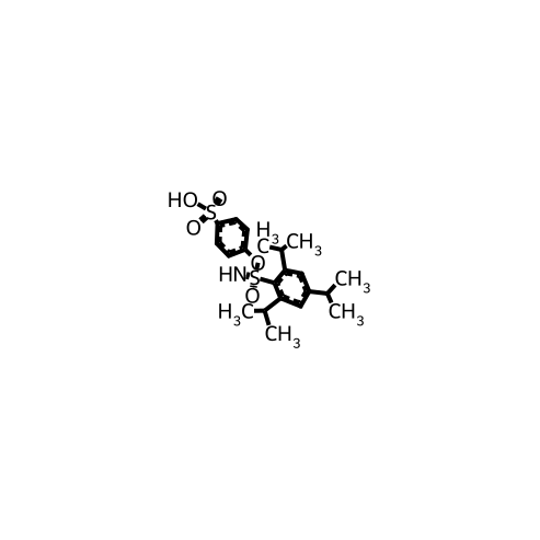 CC(C)c1cc(C(C)C)c(S(=N)(=O)Oc2ccc(S(=O)(=O)O)cc2)c(C(C)C)c1